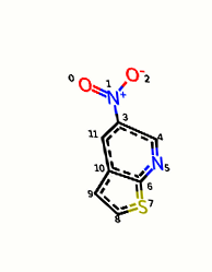 O=[N+]([O-])c1cnc2sccc2c1